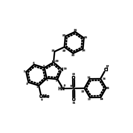 COc1cccc2c1c(NS(=O)(=O)c1cccc(Cl)c1)nn2Cc1ccccc1